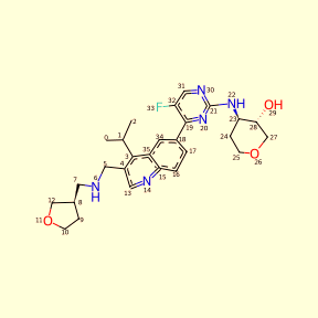 CC(C)c1c(CNC[C@H]2CCOC2)cnc2ccc(-c3nc(N[C@@H]4CCOC[C@H]4O)ncc3F)cc12